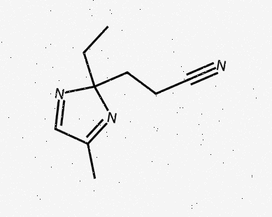 CCC1(CCC#N)N=CC(C)=N1